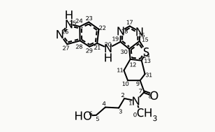 CN(CCCCO)C(=O)C1CCc2c(sc3ncnc(Nc4ccc5[nH]ncc5c4)c23)C1